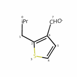 CC(C)Cc1sccc1[C]=O